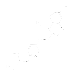 CCOC(Cc1ccc(OCc2cnc3cc(C(F)(F)F)ccc3c2OC(C)C)cc1)C(=O)O